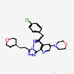 Clc1ccc(Cc2nn3c(CCC4CCOCC4)nnc3c3ncc(N4CCOCC4)cc23)cc1